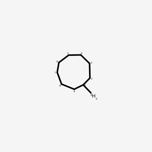 [3H]C1CCCCCCCC1